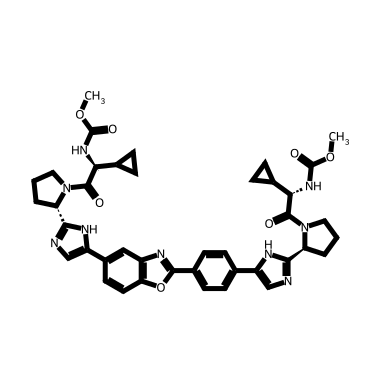 COC(=O)N[C@H](C(=O)N1CCC[C@H]1c1ncc(-c2ccc(-c3nc4cc(-c5cnc([C@@H]6CCCN6C(=O)[C@@H](NC(=O)OC)C6CC6)[nH]5)ccc4o3)cc2)[nH]1)C1CC1